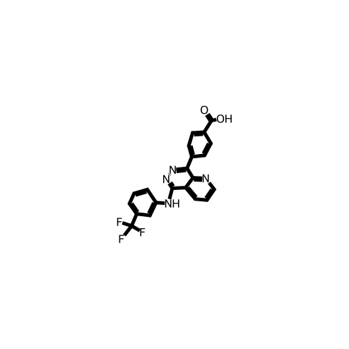 O=C(O)c1ccc(-c2nnc(Nc3cccc(C(F)(F)F)c3)c3cccnc23)cc1